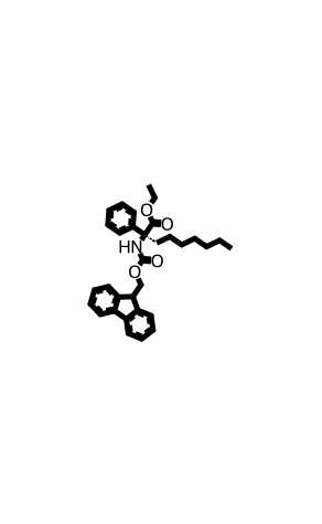 CCCCCCC[C@@](NC(=O)OCC1c2ccccc2-c2ccccc21)(C(=O)OCC)c1ccccc1